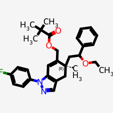 CCOC(C[C@@]1(C)Cc2cnn(-c3ccc(F)cc3)c2C=C1COC(=O)C(C)(C)C)c1ccccc1